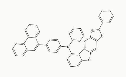 c1ccc(-c2nc3cc4c(cc3o2)oc2cccc(N(c3ccccc3)c3ccc(-c5cc6ccccc6c6ccccc56)cc3)c24)cc1